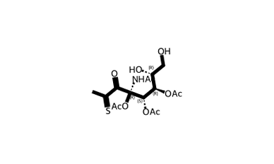 CC(=O)N[C@](OC(C)=O)(C(=O)C(C)=S)[C@@H](OC(C)=O)[C@H](OC(C)=O)[C@H](O)CO